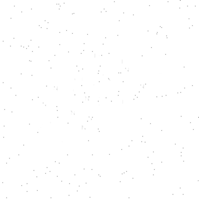 COc1ncnc(OC)c1-n1c(NS(=O)(=O)[C@@H](C)[C@@H](OC(C)C)c2cnc(C)cn2)nnc1[C@H]1CCCO1